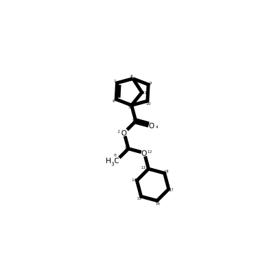 CC(OC(=O)C12C=CC(CC1)C2)OC1CCCCC1